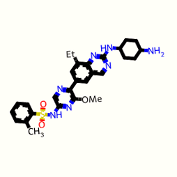 CCc1cc(-c2ncc(NS(=O)(=O)c3ccccc3C)nc2OC)cc2cnc(NC3CCC(N)CC3)nc12